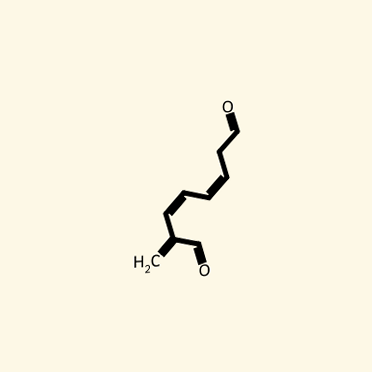 C=C(C=O)/C=C\C=C/CC=O